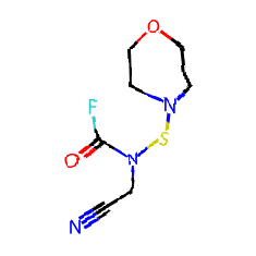 N#CCN(SN1CCOCC1)C(=O)F